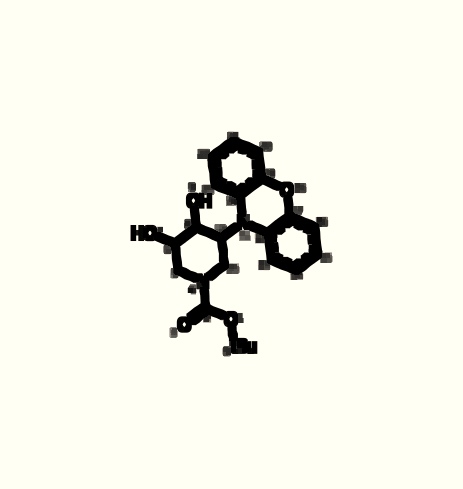 CC(C)(C)OC(=O)N1CC(O)C(O)C(N2c3ccccc3Oc3ccccc32)C1